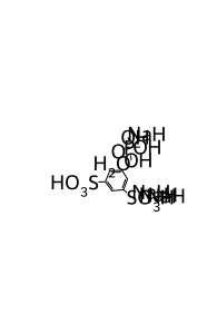 O.O=P(O)(O)O.O=S(=O)(O)c1cccc(S(=O)(=O)O)c1.[NaH].[NaH].[NaH].[NaH]